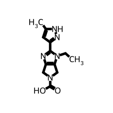 CCn1c(-c2cc(C)[nH]n2)nc2c1CN(C(=O)O)C2